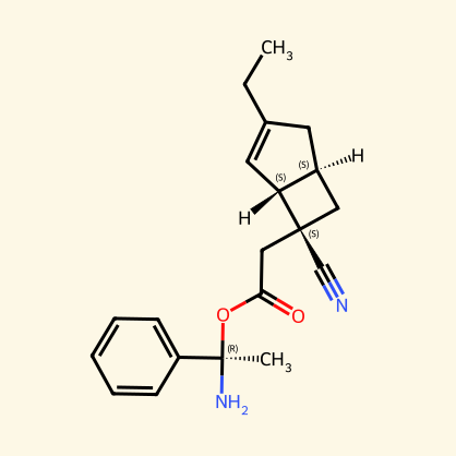 CCC1=C[C@@H]2[C@@H](C1)C[C@]2(C#N)CC(=O)O[C@@](C)(N)c1ccccc1